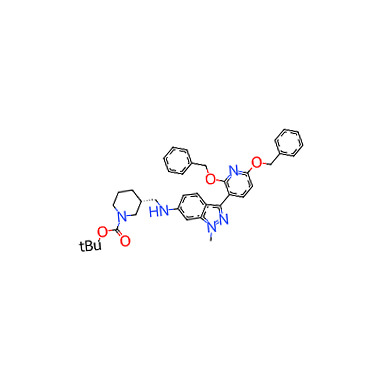 Cn1nc(-c2ccc(OCc3ccccc3)nc2OCc2ccccc2)c2ccc(NC[C@H]3CCCN(C(=O)OC(C)(C)C)C3)cc21